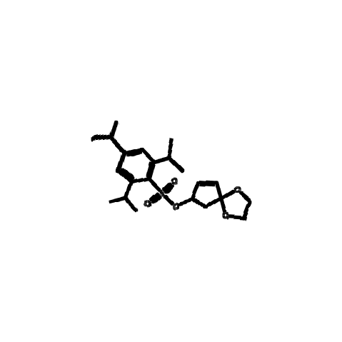 CC(C)c1cc(C(C)C)c(S(=O)(=O)OC2C=CC3(C2)OCCO3)c(C(C)C)c1